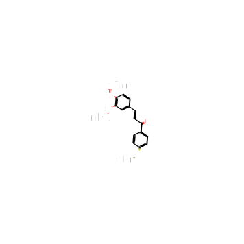 CCCCOc1ccc(/C=C/C(=O)c2ccc(SCCC)cc2)cc1OCCCC